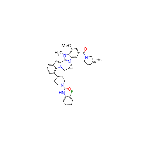 CC[C@@H]1CCCN(C(=O)c2cc(OC)c3c(c2)nc(-c2cc4cccc(C5CCN(C(=O)Nc6ccccc6F)CC5)c4n2CC2CC2)n3C)C1